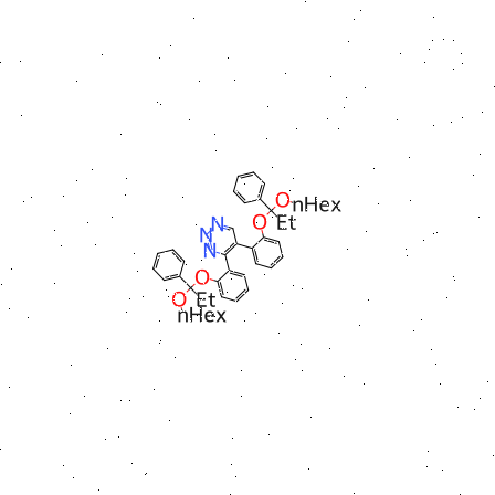 CCCCCCOC(CC)(Oc1ccccc1-c1cnnnc1-c1ccccc1OC(CC)(OCCCCCC)c1ccccc1)c1ccccc1